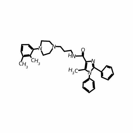 Cc1cccc(N2CCN(CCCNC(=O)c3nc(-c4ccccc4)n(-c4ccccc4)c3C)CC2)c1C